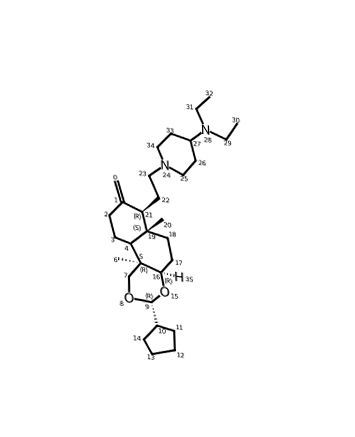 C=C1CCC2[C@]3(C)CO[C@@H](C4CCCC4)O[C@@H]3CC[C@@]2(C)[C@@H]1CCN1CCC(N(CC)CC)CC1